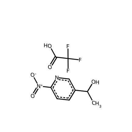 CC(O)c1ccc([N+](=O)[O-])nc1.O=C(O)C(F)(F)F